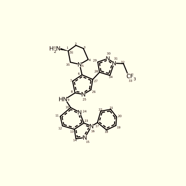 N[C@H]1CCCN(c2cc(Nc3ccc4cnn(-c5ccccc5)c4n3)ncc2-c2cnn(CC(F)(F)F)c2)C1